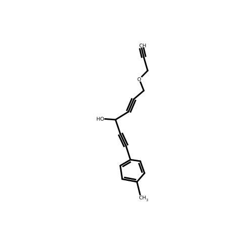 C#CCOCC#CC(O)C#Cc1ccc(C)cc1